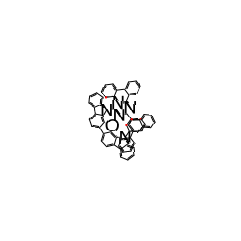 c1ccc(-c2cccc(-c3nc(-c4ccccc4-c4ccccc4)nc(-n4c5ccccc5c5ccc6c7ccc8c9ccccc9n(-c9ccc%10ccccc%10c9)c8c7oc6c54)n3)c2)cc1